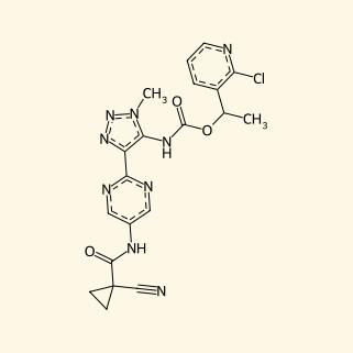 CC(OC(=O)Nc1c(-c2ncc(NC(=O)C3(C#N)CC3)cn2)nnn1C)c1cccnc1Cl